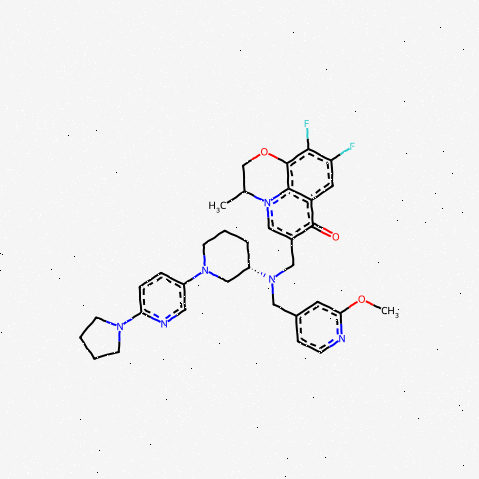 COc1cc(CN(Cc2cn3c4c(c(F)c(F)cc4c2=O)OCC3C)[C@H]2CCCN(c3ccc(N4CCCC4)nc3)C2)ccn1